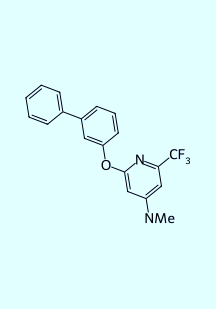 CNc1cc(Oc2cccc(-c3ccccc3)c2)nc(C(F)(F)F)c1